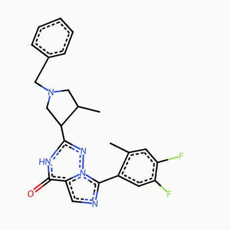 Cc1cc(F)c(F)cc1-c1ncc2c(=O)[nH]c(C3CN(Cc4ccccc4)CC3C)nn12